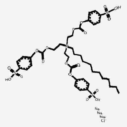 CCCCCCCCCCCC[P+](CCOC(=O)Oc1ccc(S(=O)(=O)O)cc1)(CCOC(=O)Oc1ccc(S(=O)(=O)O)cc1)CCOC(=O)Oc1ccc(S(=O)(=O)O)cc1.[Cl-].[Na].[Na].[Na]